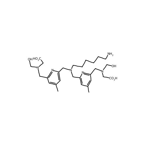 Cc1cc(CN(CO)CC(=O)O)nc(CN(CCCCCCN)Cc2cc(C)cc(CN(CO)CC(=O)O)n2)c1